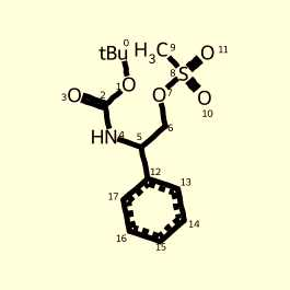 CC(C)(C)OC(=O)NC(COS(C)(=O)=O)c1ccccc1